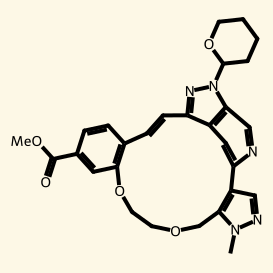 COC(=O)c1ccc2c(c1)OCCOCc1c(cnn1C)-c1cc3c(nn(C4CCCCO4)c3cn1)/C=C/2